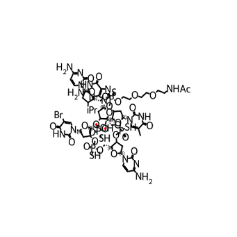 CC(=O)NCCOCCOCCOP(=S)(OC[C@H]1O[C@@H](n2ccc(N)nc2=O)CC1C(C)C)OC1C[C@H](n2cc(C)c(=O)[nH]c2=O)O[C@@H]1COP(=O)(S)OC1C[C@H](n2cnc3c(=O)[nH]c(N)nc32)O[C@@H]1COP(=O)(S)OC1C[C@H](n2ccc(N)nc2=O)O[C@@H]1COP(=O)(S)OC1C[C@H](n2cc(Br)c(=O)[nH]c2=O)O[C@@H]1CO